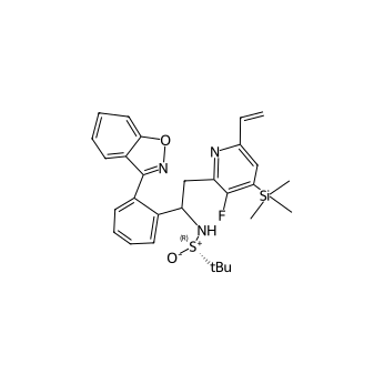 C=Cc1cc([Si](C)(C)C)c(F)c(CC(N[S@@+]([O-])C(C)(C)C)c2ccccc2-c2noc3ccccc23)n1